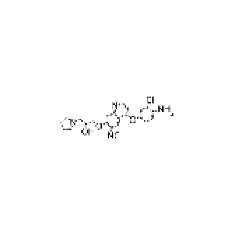 [C-]#[N+]c1cc2c(Oc3ccc(N)c(Cl)c3)ccnc2cc1OC[C@H](O)CN1CCCC1